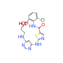 Cc1cccc(Cl)c1NC(=O)c1cnc(Nc2cc(NCCO)ncn2)s1